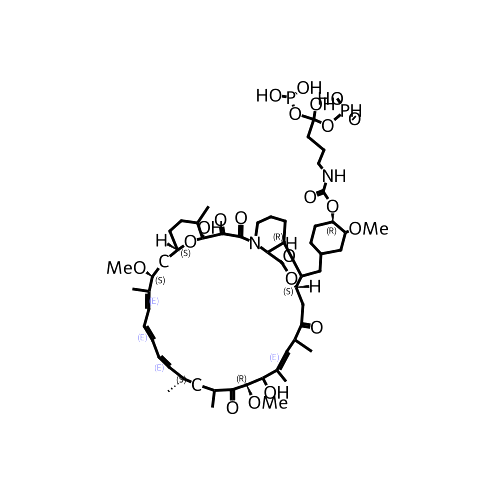 COC1CC(CC2[C@H]3CCCN4C(=O)C(=O)C5(O)O[C@@H](CCC5C)C[C@H](OC)/C(C)=C/C=C/C=C/[C@@H](C)CC(C)C(=O)[C@H](OC)C(O)/C(C)=C/C(C)C(=O)C[C@@H]2OC(=O)C34)CC[C@H]1OC(=O)NCCCC(O)(OP(O)O)O[PH](=O)O